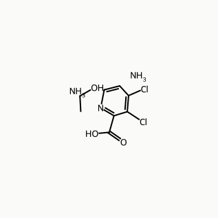 CCO.N.N.O=C(O)c1nccc(Cl)c1Cl